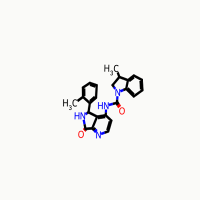 Cc1ccccc1C1NC(=O)c2nccc(NC(=O)N3CC(C)c4ccccc43)c21